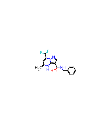 C=C1C=C(C(F)F)n2ncc(C(O)NCc3ccccc3)c2N1